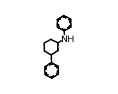 c1ccc(NC2CCCC(c3ccccc3)C2)cc1